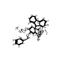 COC1=CC(C(N)=O)(C2c3ccccc3-c3ccccc32)C([N+](=O)[O-])C=C1OCc1ccccc1